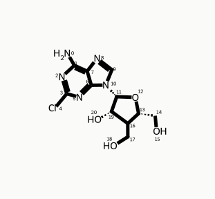 Nc1nc(Cl)nc2c1ncn2[C@@H]1O[C@H](CO)C(CO)[C@@H]1O